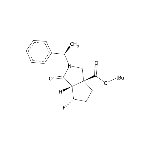 C[C@H](c1ccccc1)N1C[C@]2(C(=O)OC(C)(C)C)CC[C@H](F)[C@@H]2C1=O